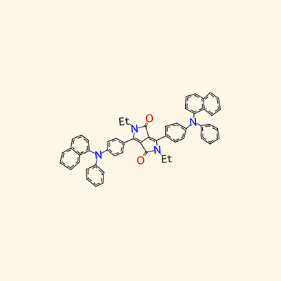 CCN1C(=O)C2=C(c3ccc(N(c4ccccc4)c4cccc5ccccc45)cc3)N(CC)C(=O)C2=C1c1ccc(N(c2ccccc2)c2cccc3ccccc23)cc1